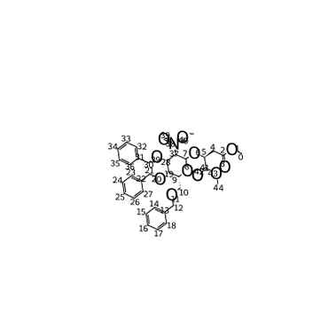 COC(=O)C[C@H](OC1O[C@H](COCc2ccccc2)[C@H](OCc2ccccc2)[C@H](OCc2ccccc2)[C@H]1[N+](=O)[O-])C(=O)OC